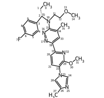 CC[C@@H](c1ccc(F)cc1)N(CCOC)c1nnc(-c2ccc(-n3cnc(C)c3)c(OC)n2)cc1C